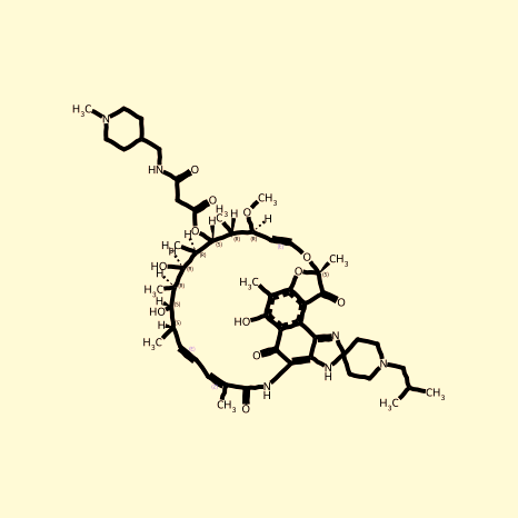 CO[C@H]1/C=C/O[C@@]2(C)Oc3c(C)c(O)c4c(c3C2=O)C2=NC3(CCN(CC(C)C)CC3)NC2=C(NC(=O)/C(C)=C\C=C\[C@H](C)[C@H](O)[C@@H](C)[C@@H](O)[C@@H](C)[C@H](OC(=O)CC(=O)NCC2CCN(C)CC2)[C@@H]1C)C4=O